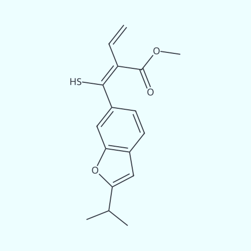 C=C/C(C(=O)OC)=C(\S)c1ccc2cc(C(C)C)oc2c1